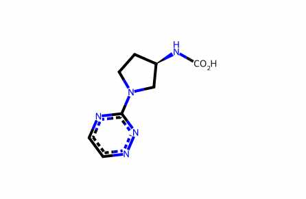 O=C(O)N[C@@H]1CCN(c2nccnn2)C1